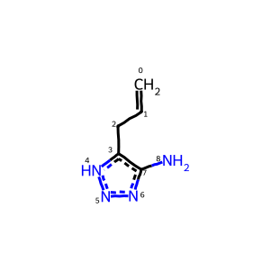 C=CCc1[nH]nnc1N